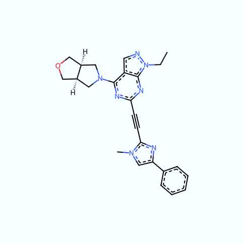 CCn1ncc2c(N3C[C@H]4COC[C@H]4C3)nc(C#Cc3nc(-c4ccccc4)cn3C)nc21